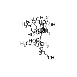 C/C=C/C=C/C(=O)O.C/C=C/C=C/C(=O)O.C/C=C/C=C/C(=O)O.CC=CC=CC(=O)OCC(CC)(COC(=O)C=CC=CC)CC(=CC=CC)C(=O)O.CCC(CO)(CO)CO